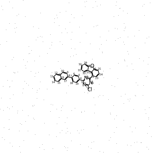 Clc1nc(-c2ccc(-c3ccc4ccccc4c3)cc2)nc(-c2cccc3oc4ccccc4c23)n1